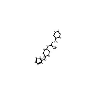 OC(COC1CCCCC1)CN1CCC(Oc2ccccc2)CC1